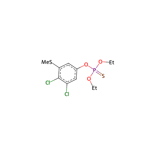 CCOP(=S)(OCC)Oc1cc(Cl)c(Cl)c(SC)c1